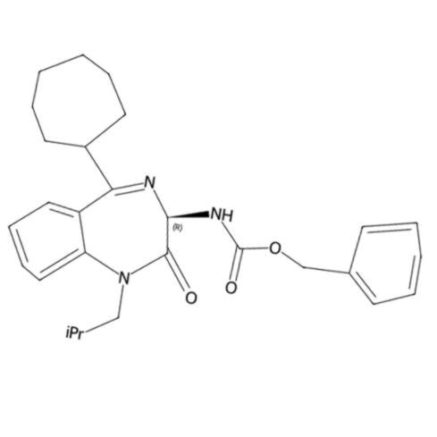 CC(C)CN1C(=O)[C@H](NC(=O)OCc2ccccc2)N=C(C2CCCCCC2)c2ccccc21